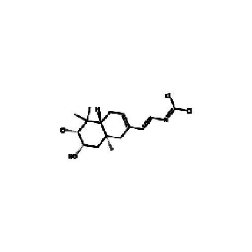 CC1(C)[C@@H](Cl)[C@@H](O)C[C@]2(C)CC(/C=C/N=C(Cl)Cl)=CC[C@@H]12